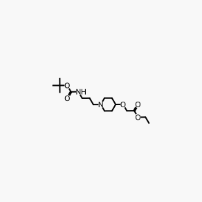 CCOC(=O)COC1CCN(CCCNC(=O)OC(C)(C)C)CC1